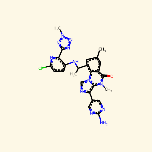 Cc1cc(C(C)Nc2ccc(Cl)nc2-c2nnn(C)n2)c2c(c1)c(=O)n(C)c1c(-c3cnc(N)nc3)ncn21